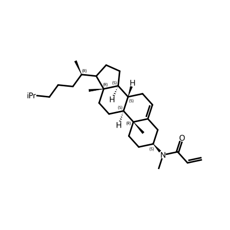 C=CC(=O)N(C)[C@H]1CC[C@@]2(C)C(=CC[C@@H]3[C@@H]2CC[C@]2(C)C([C@H](C)CCCC(C)C)CC[C@@H]32)C1